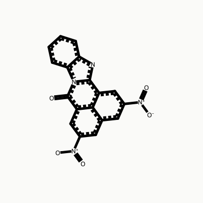 O=c1c2cc([N+](=O)[O-])cc3cc([N+](=O)[O-])cc(c32)c2nc3ccccc3n12